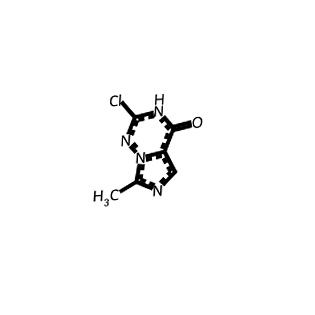 Cc1ncc2c(=O)[nH]c(Cl)nn12